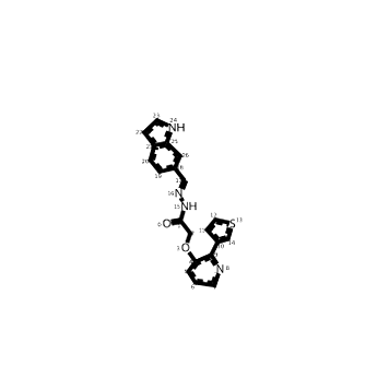 O=C(COc1cccnc1-c1ccsc1)NN=Cc1ccc2cc[nH]c2c1